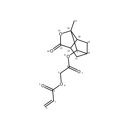 C=CC(=O)OCC(=O)OC1C2CC3C(=O)OC1(C)C3C2